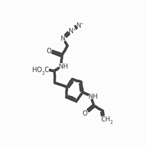 C=CC(=O)Nc1ccc(CC(NC(=O)CN=[N+]=[N-])C(=O)O)cc1